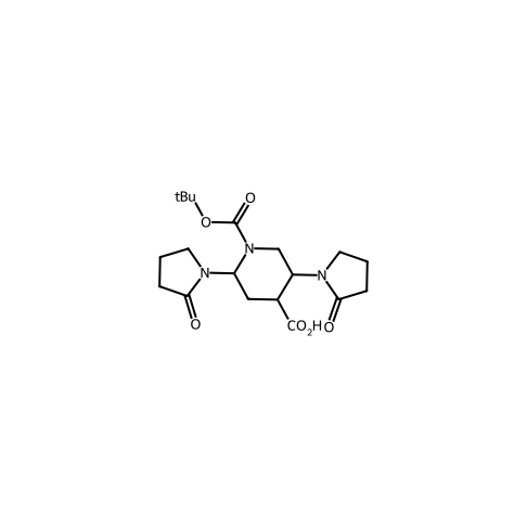 CC(C)(C)OC(=O)N1CC(N2CCCC2=O)C(C(=O)O)CC1N1CCCC1=O